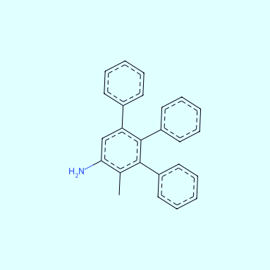 Cc1c(N)cc(-c2ccccc2)c(-c2ccccc2)c1-c1ccccc1